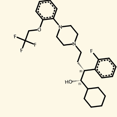 O[C@@H](C1CCCCC1)[C@H](CCN1CCN(c2ccccc2OCC(F)(F)F)CC1)c1ccccc1F